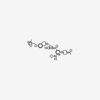 CC(=O)N1CCN(c2cc(C(=O)NCC(O)CN3CCc4cc(OCc5ocnc5C)ccc4C3)cc(NC3CCC3)n2)CC1